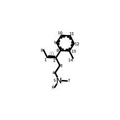 C/C=C(/CCN(C)C)c1ccccc1C